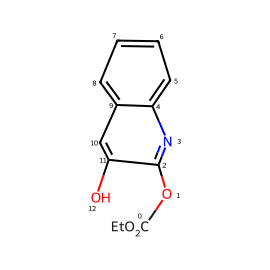 CCOC(=O)Oc1nc2ccccc2cc1O